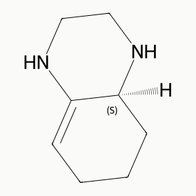 C1=C2NCCN[C@H]2CCC1